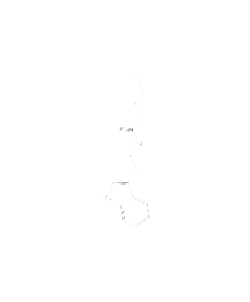 OCCSC(=S)NCCc1c[nH]c2ccccc12